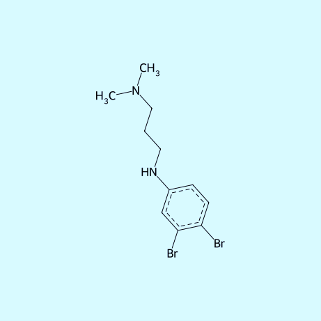 CN(C)CCCNc1ccc(Br)c(Br)c1